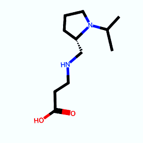 CC(C)N1CCC[C@H]1CNCCC(=O)O